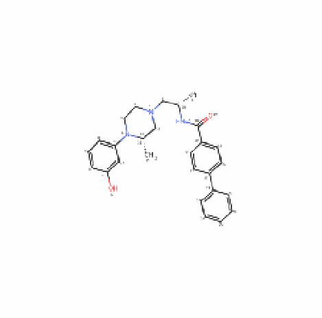 CC(C)[C@@H](CN1CCN(c2cccc(O)c2)[C@@H](C)C1)NC(=O)c1ccc(-c2ccccc2)cc1